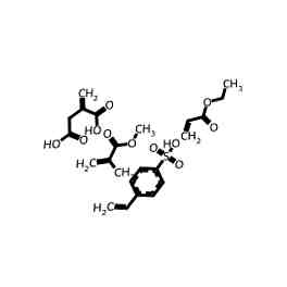 C=C(C)C(=O)OC.C=C(CC(=O)O)C(=O)O.C=CC(=O)OCC.C=Cc1ccc(S(=O)(=O)O)cc1